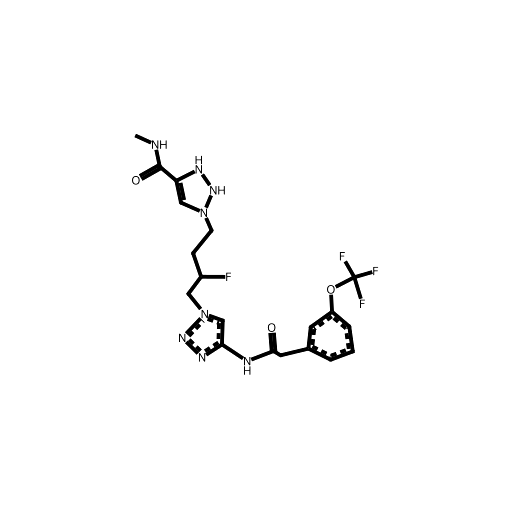 CNC(=O)C1=CN(CCC(F)Cn2cc(NC(=O)Cc3cccc(OC(F)(F)F)c3)nn2)NN1